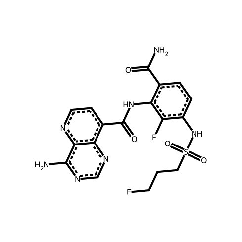 NC(=O)c1ccc(NS(=O)(=O)CCCF)c(F)c1NC(=O)c1ccnc2c(N)ncnc12